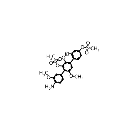 COc1cc(-c2c(OC)cc(-c3ccc(OS(C)(=O)=O)cc3)c(OC)c2OS(C)(=O)=O)ccc1N